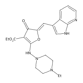 CCOC(=O)C1=C(NN2CCN(CC)CC2)O/C(=C\c2c[nH]c3ncccc23)C1=O